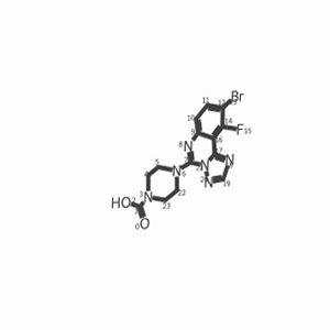 O=C(O)N1CCN(c2nc3ccc(Br)c(F)c3c3ncnn23)CC1